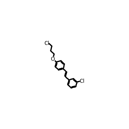 ClCCCOc1ccc(C=Cc2cccc(Cl)c2)cc1